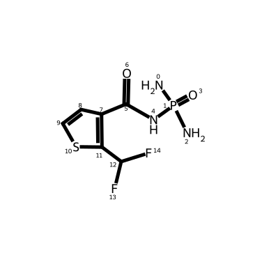 NP(N)(=O)NC(=O)c1ccsc1C(F)F